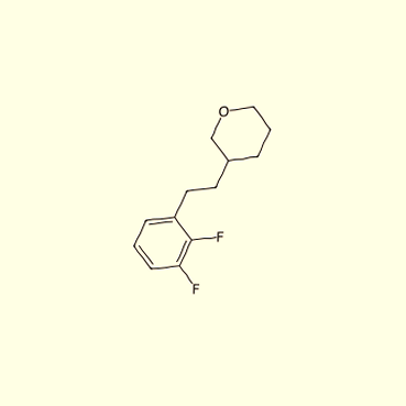 Fc1cccc(CCC2CCCOC2)c1F